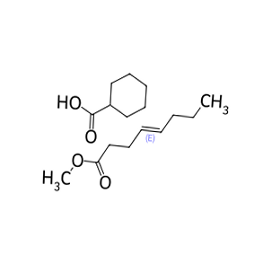 CCC/C=C/CCC(=O)OC.O=C(O)C1CCCCC1